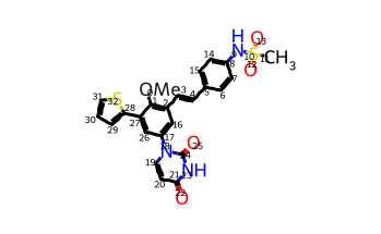 COc1c(C=Cc2ccc(NS(C)(=O)=O)cc2)cc(-n2ccc(=O)[nH]c2=O)cc1-c1cccs1